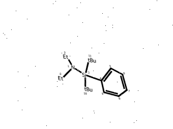 CCN(CC)[Si](c1ccccc1)(C(C)(C)C)C(C)(C)C